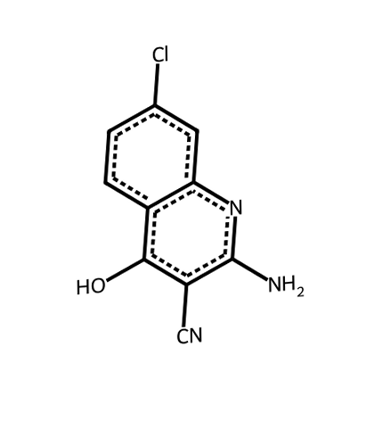 N#Cc1c(N)nc2cc(Cl)ccc2c1O